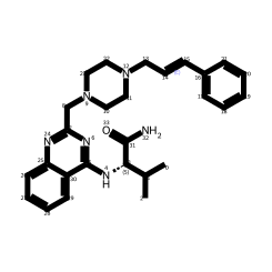 CC(C)[C@H](Nc1nc(CN2CCN(C/C=C/c3ccccc3)CC2)nc2ccccc12)C(N)=O